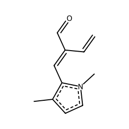 C=C/C(C=O)=C\c1c(C)ccn1C